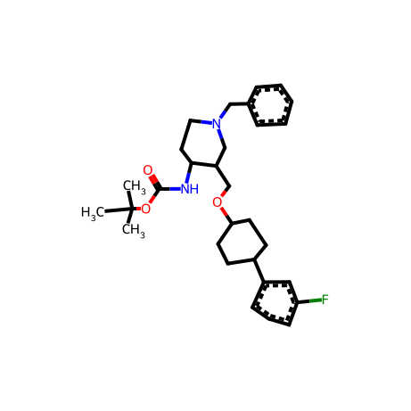 CC(C)(C)OC(=O)NC1CCN(Cc2ccccc2)CC1COC1CCC(c2cccc(F)c2)CC1